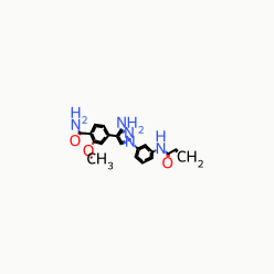 C=CC(=O)Nc1cccc(-n2cc(-c3ccc(C(N)=O)c(OC)c3)c(N)n2)c1